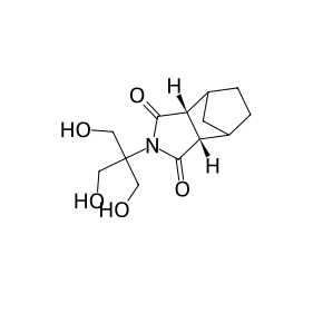 O=C1[C@@H]2C3CCC(C3)[C@@H]2C(=O)N1C(CO)(CO)CO